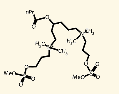 CCCC(=O)OC(CCC[N+](C)(C)CCCOS(=O)(=O)OC)CC[N+](C)(C)CCCOS(=O)(=O)OC